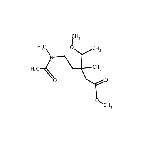 COC(=O)CC(C)(CCN(C)C(C)=O)C(C)OC